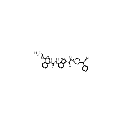 CCOC(=O)c1ccccc1NC(=O)Nc1cccc2c(C(=O)C(=O)N3CCC(=C(C#N)c4ccccc4)CC3)c[nH]c12